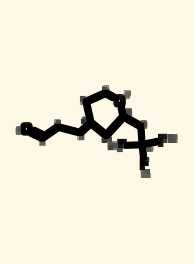 O=CCCC1CCOC(CC(F)(F)F)C1